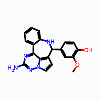 COc1cc(C2Nc3ccccc3-c3nc(N)nn4ccc2c34)ccc1O